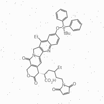 CCc1c2c(nc3ccc(O[Si](c4ccccc4)(c4ccccc4)C(C)(C)C)cc13)-c1cc3c(c(=O)n1C2)COC(=O)[C@H]3C(CC(CC)CCN1C(=O)C=CC1=O)C(=O)O